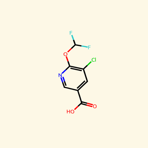 O=C(O)c1cnc(OC(F)F)c(Cl)c1